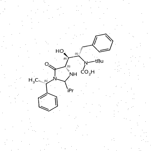 CC(C)C1N[C@@H]([C@@H](O)[C@H](Cc2ccccc2)N(C(=O)O)C(C)(C)C)C(=O)N1[C@@H](C)c1ccccc1